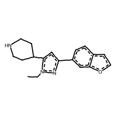 CCn1nc(-c2ccc3ccoc3c2)cc1C1CCNCC1